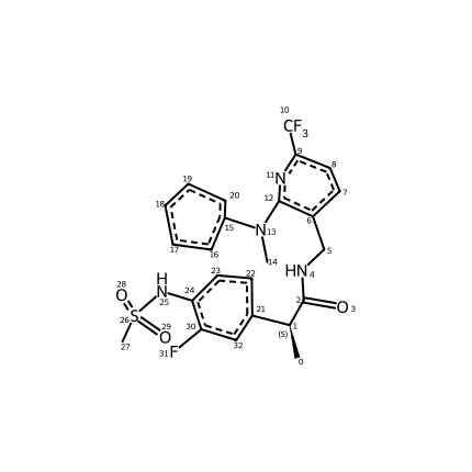 C[C@H](C(=O)NCc1ccc(C(F)(F)F)nc1N(C)c1ccccc1)c1ccc(NS(C)(=O)=O)c(F)c1